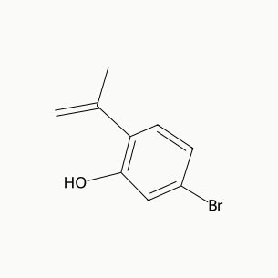 C=C(C)c1ccc(Br)cc1O